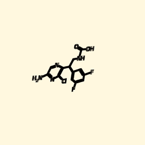 Nc1cnc(C(CNC(=O)O)c2cc(F)cc(F)c2)c(Cl)n1